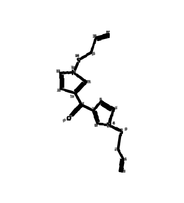 C=CCSn1ccc(C(=O)c2ccn(SCC=C)c2)c1